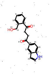 O=C(CCC(=O)c1ccccc1CO)c1ccc2[nH]ccc2c1